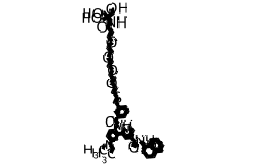 CCN(CC)c1ccc(NC(=O)c2cccc(CSCCOCCOCCOCCOCCC(=O)NC(CO)(CO)CO)c2)c(-c2cc(C(=O)NC3CCCc4ccccc43)ccn2)c1